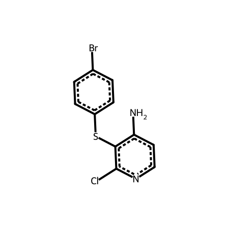 Nc1ccnc(Cl)c1Sc1ccc(Br)cc1